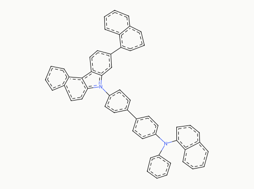 c1ccc(N(c2ccc(-c3ccc(-n4c5cc(-c6cccc7ccccc67)ccc5c5c6ccccc6ccc54)cc3)cc2)c2cccc3ccccc23)cc1